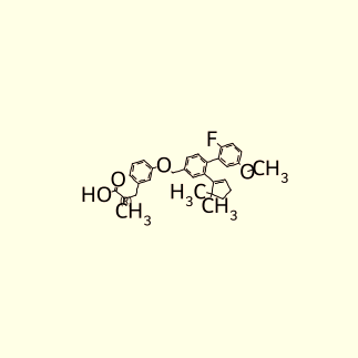 COc1ccc(F)c(-c2ccc(COc3cccc(C[C@@H](C)C(=O)O)c3)cc2C2=CCCC2(C)C)c1